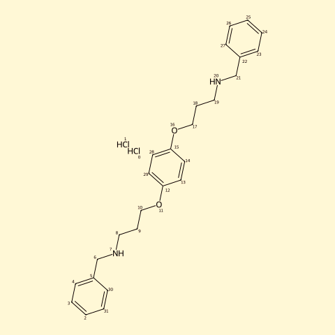 Cl.Cl.c1ccc(CNCCCOc2ccc(OCCCNCc3ccccc3)cc2)cc1